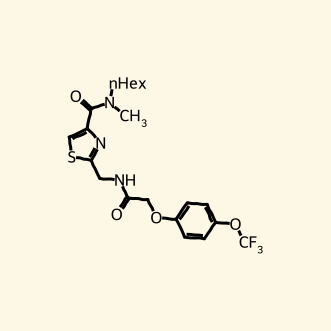 CCCCCCN(C)C(=O)c1csc(CNC(=O)COc2ccc(OC(F)(F)F)cc2)n1